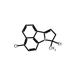 CCC1(C)CC=c2c3cccc4c(Cl)ccc(c43)n21